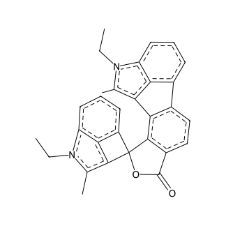 CCn1c(C)c2c3c(cccc31)-c1ccc3c(c1-2)C1(OC3=O)c2cccc3c2c1c(C)n3CC